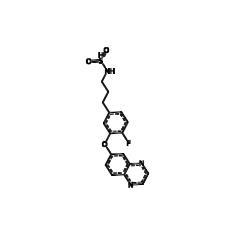 O=[SH](=O)NCCCc1ccc(F)c(Oc2ccc3nccnc3c2)c1